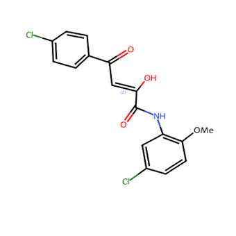 COc1ccc(Cl)cc1NC(=O)/C(O)=C/C(=O)c1ccc(Cl)cc1